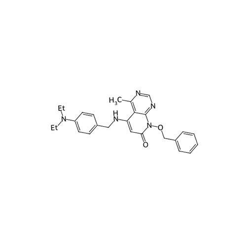 CCN(CC)c1ccc(CNc2cc(=O)n(OCc3ccccc3)c3ncnc(C)c23)cc1